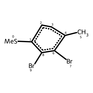 CSc1ccc(C)c(Br)c1Br